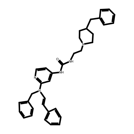 O=C(NCCN1CCC(Cc2ccccc2)CC1)Nc1ccnc(N(C=Cc2ccccc2)Cc2ccccc2)c1